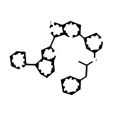 OC(Cc1ccccc1)Nc1cncc(-c2ccc3[nH]nc(-c4cc5c(-c6ccccn6)cccc5[nH]4)c3n2)c1